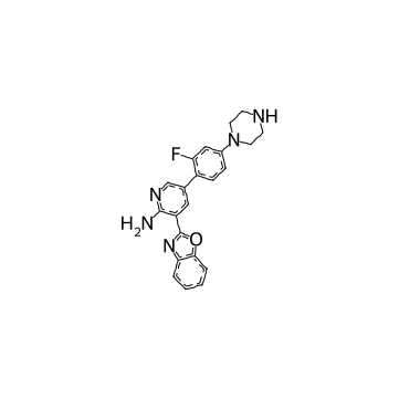 Nc1ncc(-c2ccc(N3CCNCC3)cc2F)cc1-c1nc2ccccc2o1